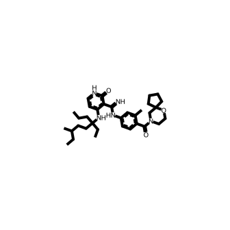 CCCC(CC)(CCC(C)CC)Nc1cc[nH]c(=O)c1C(=N)Nc1ccc(C(=O)N2CCOC3(CCCC3)C2)c(C)c1